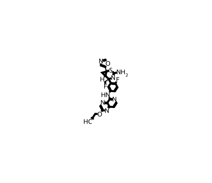 C#CCOc1cnc2c(Nc3ccc(F)c([C@@]4(CF)N=C(N)S[C@@]5(c6cnco6)C[C@@H]45)c3)nccc2n1